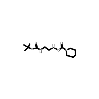 CC(C)(C)OC(=O)NCCNOC(=O)N1CCCCC1